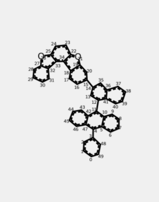 c1ccc(-c2c3ccccc3c(-c3cc(-c4ccc5c(c4)oc4ccc6oc7ccccc7c6c45)cc4ccccc34)c3ccccc23)cc1